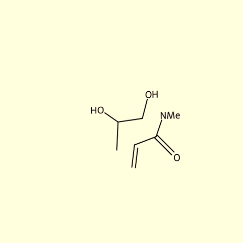 C=CC(=O)NC.CC(O)CO